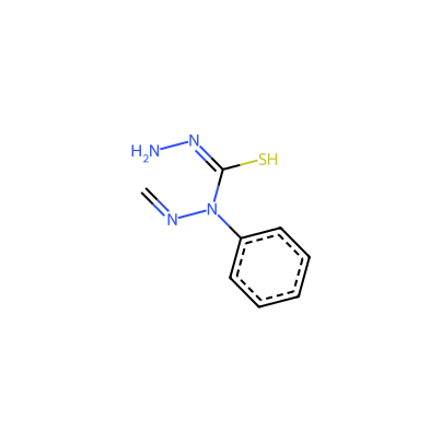 C=NN(/C(S)=N\N)c1ccccc1